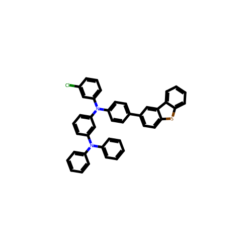 Clc1cccc(N(c2ccc(-c3ccc4sc5ccccc5c4c3)cc2)c2cccc(N(c3ccccc3)c3ccccc3)c2)c1